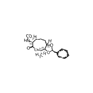 C[C@@H]1OC(=O)[C@@H](NC(=O)O)CCC[C@@H]2OC(c3ccccc3)O[C@@H]12